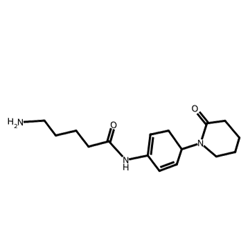 NCCCCC(=O)NC1=CCC(N2CCCCC2=O)C=C1